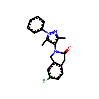 Cc1nn(-c2ccccc2)c(C)c1N1Cc2cc(Br)ccc2CC1=O